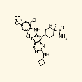 CC1(C(N)=O)CCC(n2c(Nc3c(Cl)cc(OC(F)(F)F)cc3Cl)nc3cnc(NC4CCC4)nc32)CC1